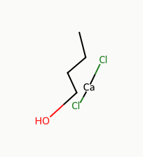 CCCCO.[Cl][Ca][Cl]